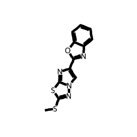 CSc1nn2cc(-c3nc4ccccc4o3)nc2s1